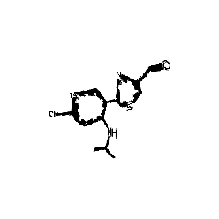 CC(C)Nc1cc(Cl)ncc1-c1nc(C=O)cs1